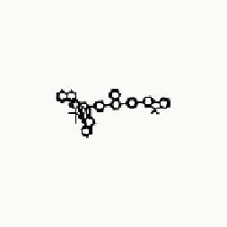 CC1(C)c2ccccc2-c2ccc(-c3ccc(-c4ccc(-c5ccc(-c6cc7c8ccc9ccccc9c8sc7c7nc8c9ccccc9ccc8n67)cc5)c5ccccc45)cc3)cc21